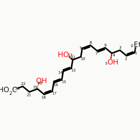 CC/C=C\C[C@@H](O)/C=C/C=C\CC(O)/C=C/C=C/C=C\[C@@H](O)CCC(=O)O